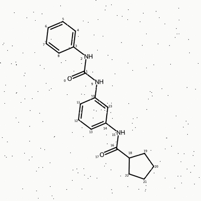 O=C(Nc1ccccc1)Nc1cccc(NC(=O)C2CCCC2)c1